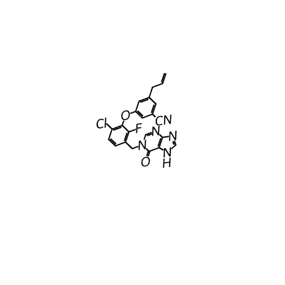 C=CCc1cc(C#N)cc(Oc2c(Cl)ccc(Cn3cnc4nc[nH]c4c3=O)c2F)c1